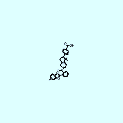 Cc1ccc2nc(-c3ccccc3C(=O)N3CC=C4C(C)(C)C(c5ccc(C(=O)O)cc5)=CC[C@]4(C)C3)oc2c1